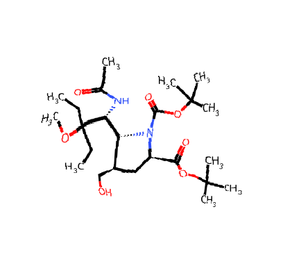 CCC(CC)(OC)[C@H](NC(C)=O)[C@H]1[C@H](CO)C[C@H](C(=O)OC(C)(C)C)N1C(=O)OC(C)(C)C